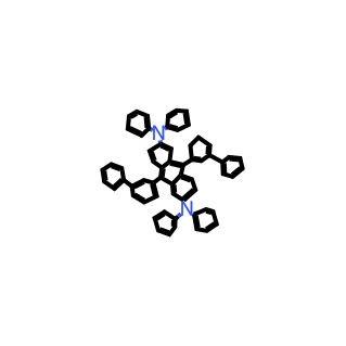 C1=C(c2ccccc2)C=C(c2c3cc(N(c4ccccc4)c4ccccc4)ccc3c(-c3cccc(-c4ccccc4)c3)c3cc(N(c4ccccc4)c4ccccc4)ccc23)CC1